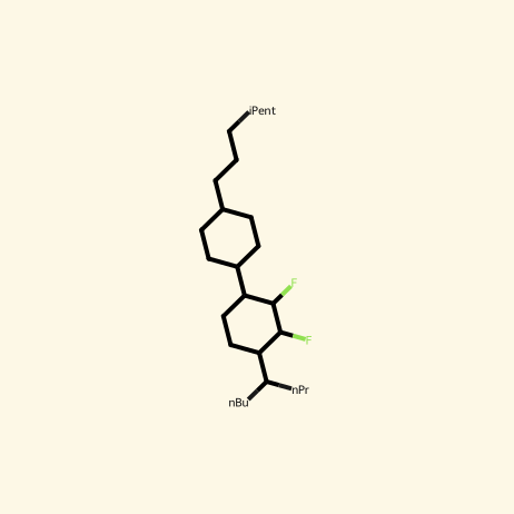 CCCCC(CCC)C1CCC(C2CCC(CCCC(C)CCC)CC2)C(F)C1F